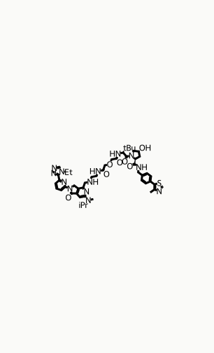 CCn1cnnc1-c1cccc(N2Cc3c(cc(N(C)C(C)C)nc3CNCCNC(=O)COCC(=O)N[C@H](C(=O)N3C[C@H](O)C[C@H]3C(=O)NCc3ccc(-c4scnc4C)cc3)C(C)(C)C)C2=O)n1